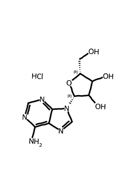 Cl.Nc1ncnc2c1ncn2[C@@H]1O[C@H](CO)C(O)C1O